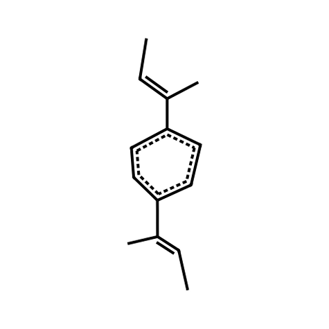 CC=C(C)c1ccc(C(C)=CC)cc1